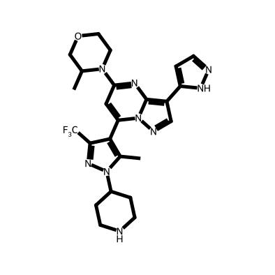 Cc1c(-c2cc(N3CCOCC3C)nc3c(-c4ccn[nH]4)cnn23)c(C(F)(F)F)nn1C1CCNCC1